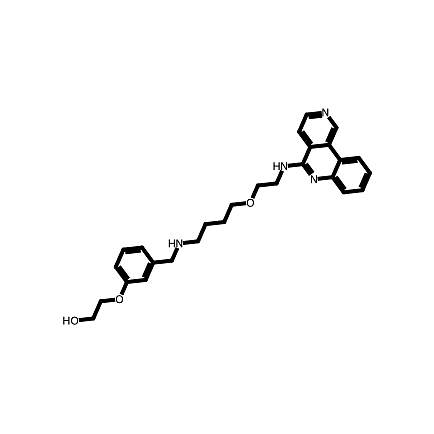 OCCOc1cccc(CNCCCCOCCNc2nc3ccccc3c3cnccc23)c1